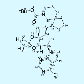 CC(C)(C)OC(=O)N1CCCC2(CCCN2C[C@H]2C[C@@H](n3ccc4c(Cl)ncnc43)[C@@H]3OC(C)(C)O[C@H]23)C1